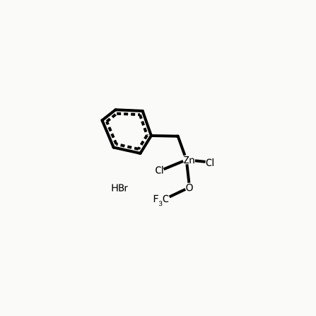 Br.FC(F)(F)[O][Zn]([Cl])([Cl])[CH2]c1ccccc1